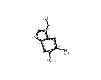 Cc1cc2ncn(CCl)c2cc1C